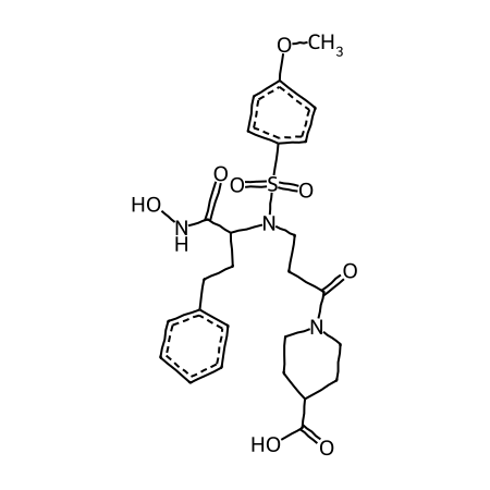 COc1ccc(S(=O)(=O)N(CCC(=O)N2CCC(C(=O)O)CC2)C(CCc2ccccc2)C(=O)NO)cc1